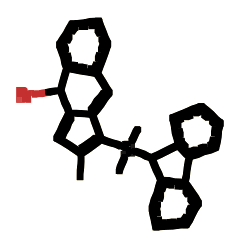 CC1=C([Si](C)(C)C2c3ccccc3-c3ccccc32)C2=Cc3ccccc3C(Br)C2=C1